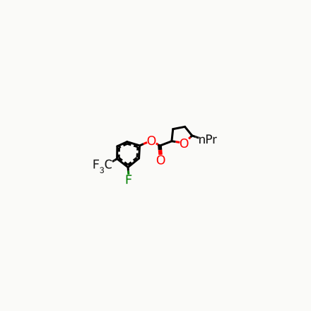 CCCC1CCC(C(=O)Oc2ccc(C(F)(F)F)c(F)c2)O1